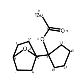 CCC(C)C(=O)OC1(C23CCC(CC2)O3)CCCC1